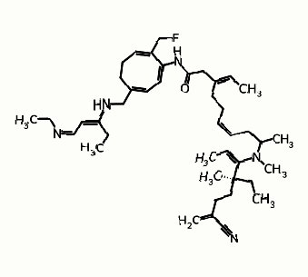 C=C(C#N)CC[C@](C)(CC)/C(=C\C)N(C)C(C)CC=CCC/C(=C\C)CC(=O)NC1=C/C=C(/CN/C(=C/C=N\CC)CC)CC/C=C\1CF